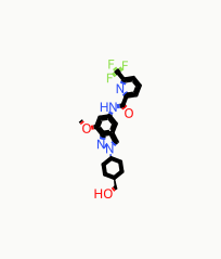 COc1cc(NC(=O)c2cccc(C(F)(F)F)n2)cc2cn([C@H]3CC[C@H](CO)CC3)nc12